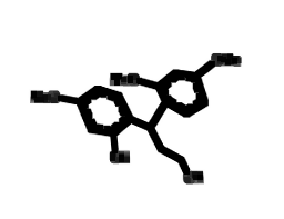 COc1ccc(C(CCO)c2ccc(OC)cc2OC)c(O)c1